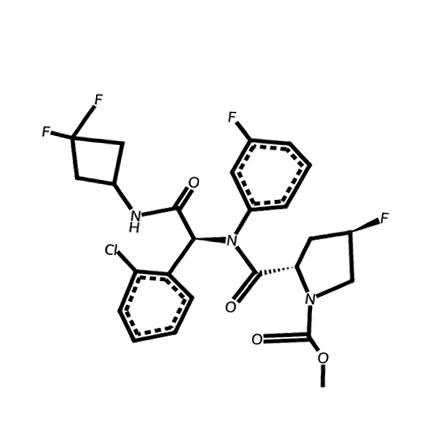 COC(=O)N1C[C@H](F)C[C@H]1C(=O)N(c1cccc(F)c1)[C@H](C(=O)NC1CC(F)(F)C1)c1ccccc1Cl